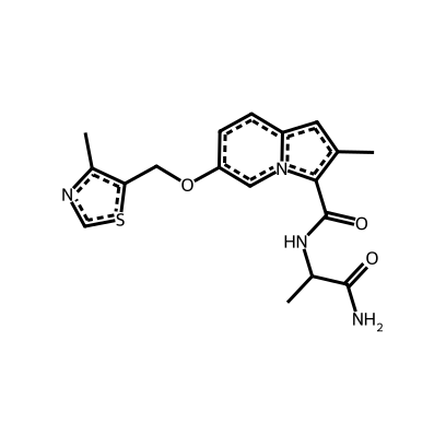 Cc1cc2ccc(OCc3scnc3C)cn2c1C(=O)NC(C)C(N)=O